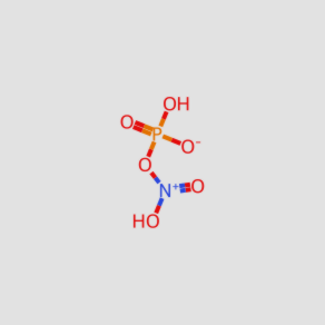 O=[N+](O)OP(=O)([O-])O